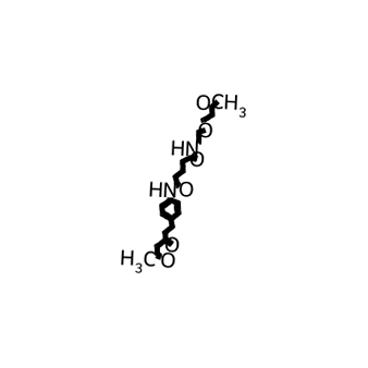 CC(=O)CCOCCNC(=O)CCCC(=O)Nc1ccc(CCC(=O)CC(C)=O)cc1